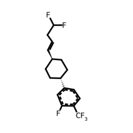 Fc1cc([C@H]2CC[C@H](C=CCC(F)F)CC2)ccc1C(F)(F)F